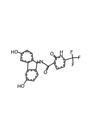 O=C(NC1c2ccc(O)cc2-c2cc(O)ccc21)c1ccc(C(F)(F)F)[nH]c1=O